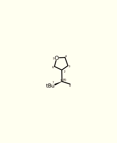 C[C@H](C1CCOC1)C(C)(C)C